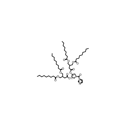 CCCCCCCCC(=O)OCC(COC(=O)CCCCCCCC)CC(=O)O[C@H]1CN(C(=O)n2ccnc2)C[C@@H]1OC(=O)CC(COC(=O)CCCCCCCC)COC(=O)CCCCCCCC